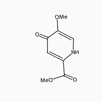 COC(=O)c1cc(=O)c(OC)c[nH]1